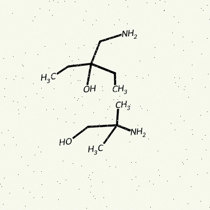 CC(C)(N)CO.CCC(O)(CC)CN